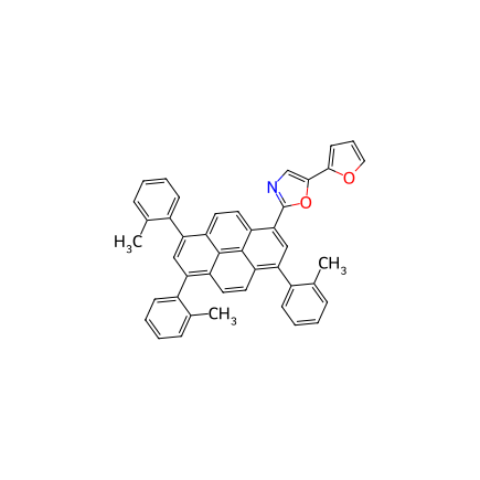 Cc1ccccc1-c1cc(-c2ncc(-c3ccco3)o2)c2ccc3c(-c4ccccc4C)cc(-c4ccccc4C)c4ccc1c2c34